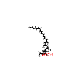 CCCCCC/C=C\CCCCCCCCC(C)CC(C)CC(C)CC(C)(CCCC)C(=O)O